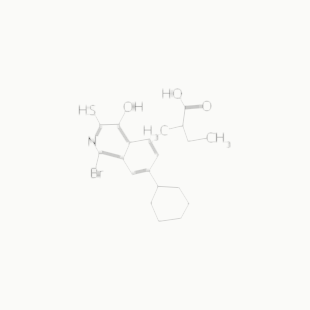 CCC(C)C(=O)O.Oc1c(S)nc(Br)c2cc(C3CCCCC3)ccc12